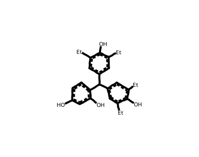 CCc1cc(C(c2cc(CC)c(O)c(CC)c2)c2ccc(O)cc2O)cc(CC)c1O